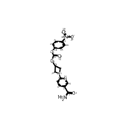 NC(=O)c1ccc(N2CC(OC(=O)Oc3ccc([N+](=O)[O-])cc3)C2)nc1